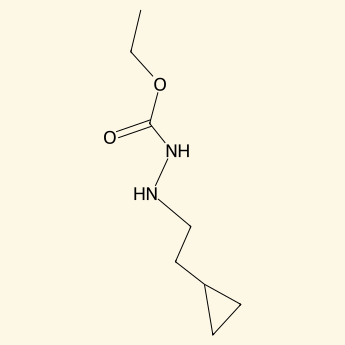 CCOC(=O)NNCCC1CC1